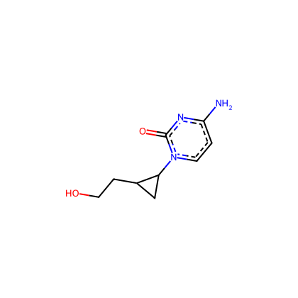 Nc1ccn(C2CC2CCO)c(=O)n1